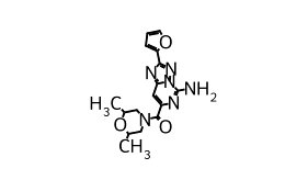 CC1CN(C(=O)c2cc3nc(-c4ccco4)nn3c(N)n2)CC(C)O1